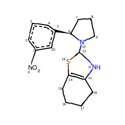 O=[N+]([O-])c1cccc([C@H]2CCCN2C2NC3=C(CCCC3)S2)c1